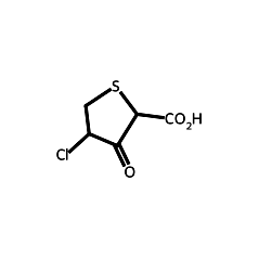 O=C(O)C1SCC(Cl)C1=O